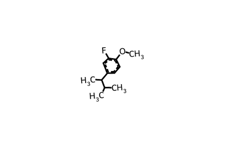 COc1ccc(C(C)C(C)C)cc1F